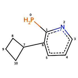 Pc1ncccc1C1CCC1